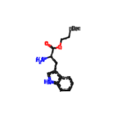 CCCCCCCCCCCCOC(=O)C(N)Cc1c[nH]c2ccccc12